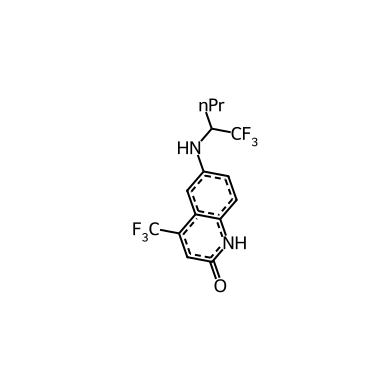 CCCC(Nc1ccc2[nH]c(=O)cc(C(F)(F)F)c2c1)C(F)(F)F